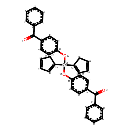 O=C(c1ccccc1)c1ccc([O][Zr]([O]c2ccc(C(=O)c3ccccc3)cc2)([C]2=CC=CC2)[C]2=CC=CC2)cc1